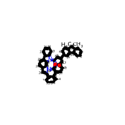 CC1(C)c2ccccc2-c2cc(-c3ccnc(-n4c5ccccc5c5ccc6cc7c8ccccc8c8ccccc8n7c6c54)c3)ccc21